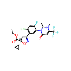 CCOC(=O)[C@@]1(C2CC2)CC(c2cc(N3C(=O)C=C(C(F)(F)F)N(C)C3C)c(F)cc2Cl)=NO1